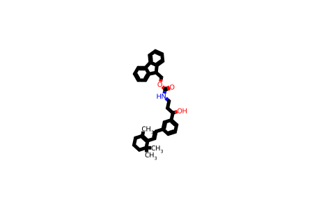 CC1=C(/C=C/c2cccc(C(O)CCNC(=O)OCC3c4ccccc4-c4ccccc43)c2)C(C)(C)CCC1